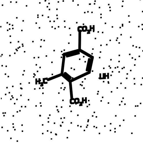 Cc1cc(C(=O)O)ccc1C(=O)O.[LiH]